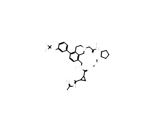 COC[C@H]1CCC[C@H]1NC(=O)CN1CCc2c(-c3cccc(OC(F)(F)F)c3)ccc(CNC(=O)C3CC3c3nc(C)no3)c2C1